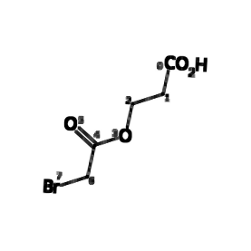 O=C(O)CCOC(=O)CBr